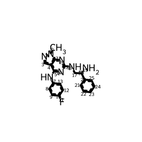 Cn1ncc2c(Nc3ccc(F)cc3)nc(NC[C@H](N)c3ccccc3)nc21